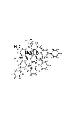 Cc1cc(C)c(B2c3ccc(-c4ccccc4)cc3N(c3ccccc3)c3cc4c(cc32)B(c2c(C)cc(C)cc2C)c2ccc(-c3ccccc3)cc2N4c2ccccc2)c(C)c1